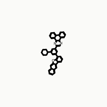 c1ccc2cc3c(cc2c1)oc1c(-c2cc(-c4cnc5c6ccccc6c6ccccc6c5n4)cc(C4CCCCC4)c2)cccc13